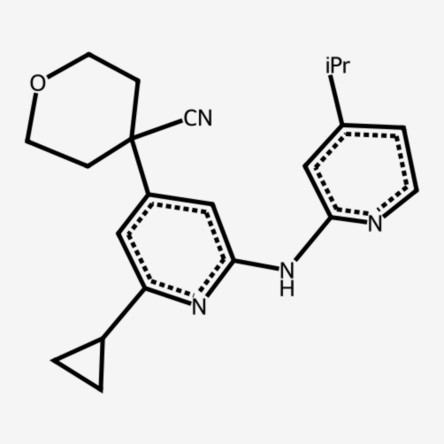 CC(C)c1ccnc(Nc2cc(C3(C#N)CCOCC3)cc(C3CC3)n2)c1